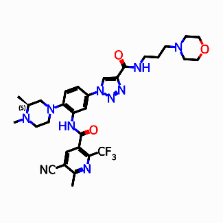 Cc1nc(C(F)(F)F)c(C(=O)Nc2cc(-n3cc(C(=O)NCCCN4CCOCC4)nn3)ccc2N2CCN(C)[C@@H](C)C2)cc1C#N